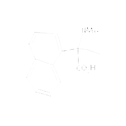 CNC(C)(C(=O)O)c1cccc2ccccc12